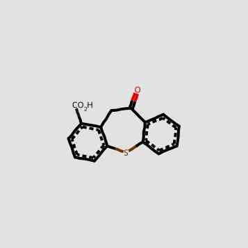 O=C1Cc2c(cccc2C(=O)O)Sc2ccccc21